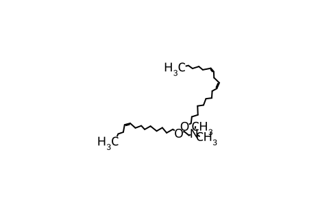 CCC/C=C\CCCCCCCCOC(CN(C)C)OCCCCCCCC/C=C\C/C=C\CCCCC